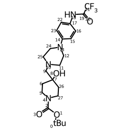 CC(C)(C)OC(=O)N1CCC(O)(CN2CCN(c3ccc(NC(=O)C(F)(F)F)cc3)CC2)CC1